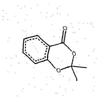 CC1(C)OC(=O)c2ccccc2O1